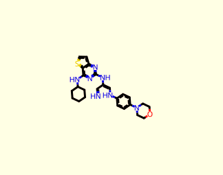 N=C/C(=C\Nc1ccc(N2CCOCC2)cc1)Nc1nc(NC2CCCCC2)c2sccc2n1